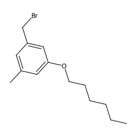 CCCCCCOc1cc(C)cc(CBr)c1